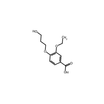 CCOc1cc(C(=O)O)ccc1OCCCO